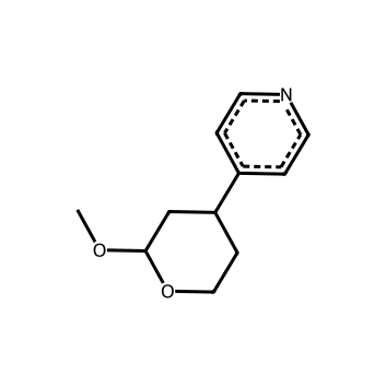 COC1CC(c2ccncc2)CCO1